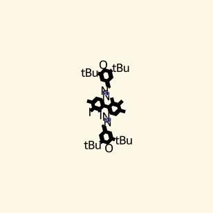 Cc1cc(/N=N/C=C2C=C(C(C)(C)C)C(=O)C(C(C)(C)C)=C2)c(-c2c(/N=N/C=C3C=C(C(C)(C)C)C(=O)C(C(C)(C)C)=C3)cc(C)c(I)c2I)c(C)c1C